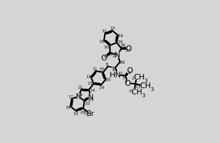 CC(C)(C)OC(=O)N[C@@H](Cc1ccc(-c2cn3cccc(Br)c3n2)cc1)CN1C(=O)c2ccccc2C1=O